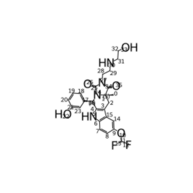 C[C@@]12Cc3c([nH]c4ccc(OC(F)F)cc34)[C@@H](c3cccc(O)c3)N1C(=O)N(CCNCCO)C2=O